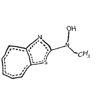 CN(O)c1nc2ccccc2s1